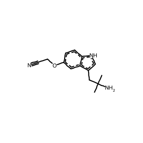 CC(C)(N)Cc1c[nH]c2ccc(OCC#N)cc12